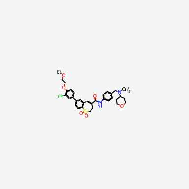 CCOCCOc1ccc(-c2ccc3c(c2)C=C(C(=O)Nc2ccc(CN(C)C4CCOCC4)cc2)CCS3(=O)=O)cc1Cl